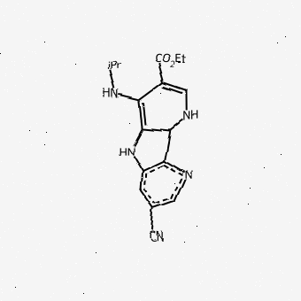 CCOC(=O)C1=CNC2C(=C1NC(C)C)Nc1cc(C#N)cnc12